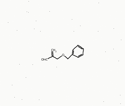 C=C(C=O)COCc1ccccc1